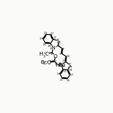 CCCCC(=O)OC(C)[n+]1c(C=CC=C2Nc3ccccc3S2)sc2ccccc21.[Br-]